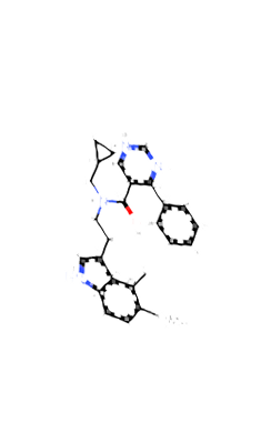 COc1ccc2[nH]cc(CCN(CC3CC3)C(=O)c3cncnc3-c3ccccc3)c2c1C